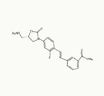 COC(=O)c1cccc(C=Cc2ccc(N3C[C@H](CNC(C)=O)OC3=O)cc2F)c1